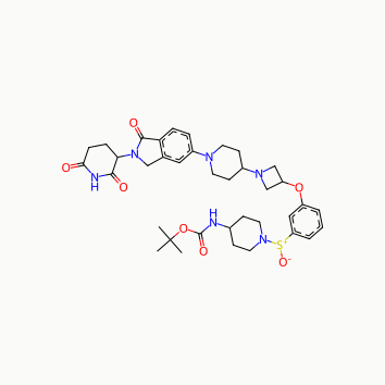 CC(C)(C)OC(=O)NC1CCN([S+]([O-])c2cccc(OC3CN(C4CCN(c5ccc6c(c5)CN(C5CCC(=O)NC5=O)C6=O)CC4)C3)c2)CC1